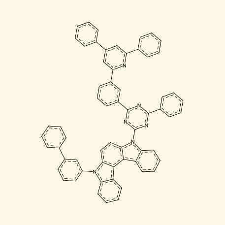 c1ccc(-c2cccc(-n3c4ccccc4c4c5c6ccccc6n(-c6nc(-c7ccccc7)nc(-c7cccc(-c8cc(-c9ccccc9)cc(-c9ccccc9)n8)c7)n6)c5ccc43)c2)cc1